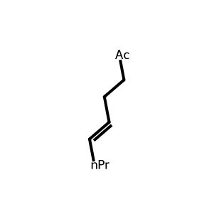 CCCC=CCCC(C)=O